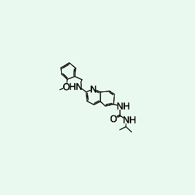 COc1ccccc1CNc1ccc2cc(NC(=O)NC(C)C)ccc2n1